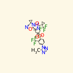 Cc1ncnn1-c1ccc(S(=O)(=O)[C@@H]2C[C@@H](C(=O)NC3(C#N)CC3)N(C(=O)C3(C(F)(F)F)CC3)C2)c(C(F)(F)F)c1